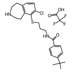 CC(C)(C)c1ccc(C(=O)NCCCSc2c(Cl)ccc3c2CCNCC3)cc1.O=C(O)C(F)(F)F